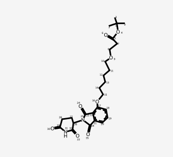 CC(C)(C)OC(=O)CCOCCCCCCOc1cccc2c1C(=O)N(C1CCC(=O)NC1=O)C2=O